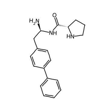 N[C@H](Cc1ccc(-c2ccccc2)cc1)NC(=O)[C@@H]1CCCN1